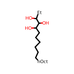 CCCCCCCCCCCCCCC(O)C(O)C(O)CC